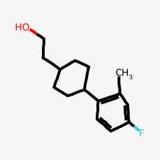 Cc1cc(F)ccc1C1CCC(CCO)CC1